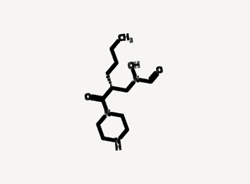 CCCC[C@H](CN(O)C=O)C(=O)N1CCNCC1